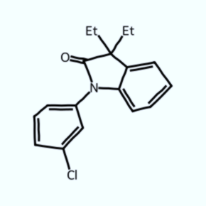 CCC1(CC)C(=O)N(c2cccc(Cl)c2)c2ccccc21